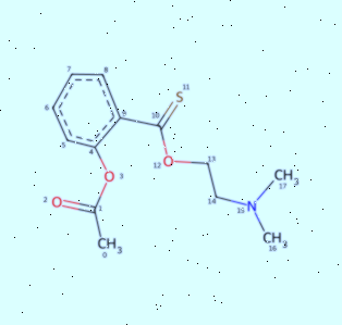 CC(=O)Oc1ccccc1C(=S)OCCN(C)C